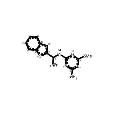 CCCC(Nc1nc(N)nc(SC)n1)c1cc2ccccc2s1